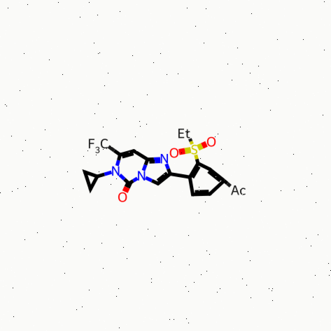 CCS(=O)(=O)c1cc(C(C)=O)ccc1-c1cn2c(=O)n(C3CC3)c(C(F)(F)F)cc2n1